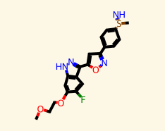 COCCOc1cc2[nH]nc(-c3cc(-c4ccc(S(C)=N)cc4)no3)c2cc1F